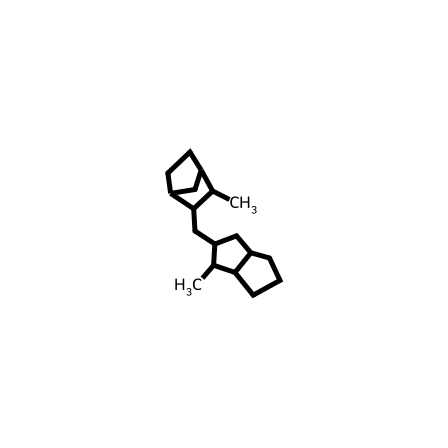 CC1C(CC2C3CCC(C3)C2C)CC2CCCC21